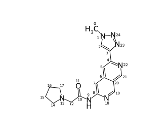 Cn1cc(-c2cc3cc(NC(=O)CN4CCCC4)ncc3cn2)nn1